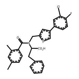 Cc1ccc(C(=O)N(Cc2cc(-c3ccc(F)c(Cl)c3)cs2)C(Cc2ccccc2)C(=O)O)c(C)c1